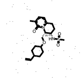 C=CC1CCC(OC[C@H]2[C@@H](NS(C)(=O)=O)CCc3ccc(C)c(=O)n32)CC1